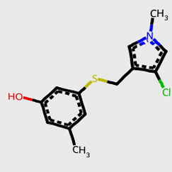 Cc1cc(O)cc(SCc2cn(C)cc2Cl)c1